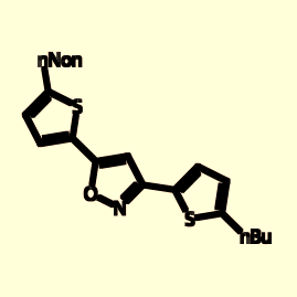 CCCCCCCCCc1ccc(-c2cc(-c3ccc(CCCC)s3)no2)s1